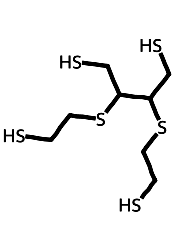 SCCSC(CS)C(CS)SCCS